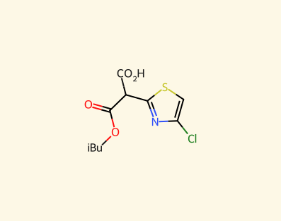 CCC(C)OC(=O)C(C(=O)O)c1nc(Cl)cs1